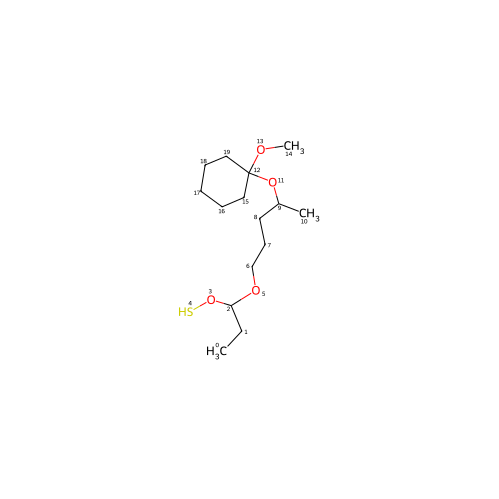 CCC(OS)OCCCC(C)OC1(OC)CCCCC1